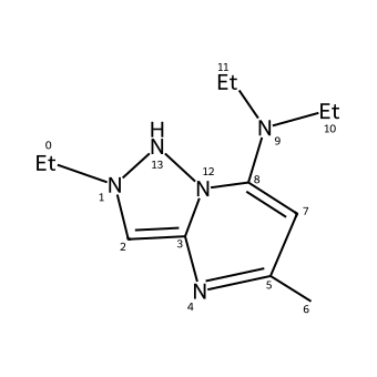 CCN1C=C2N=C(C)C=C(N(CC)CC)N2N1